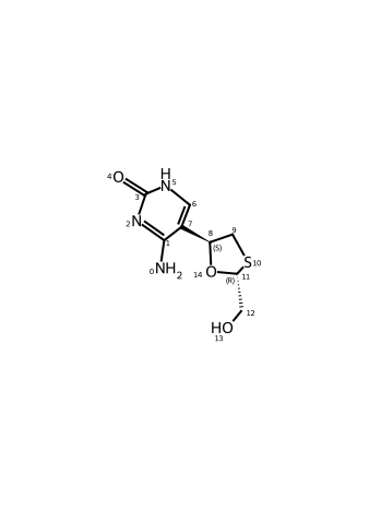 Nc1nc(=O)[nH]cc1[C@H]1CS[C@H](CO)O1